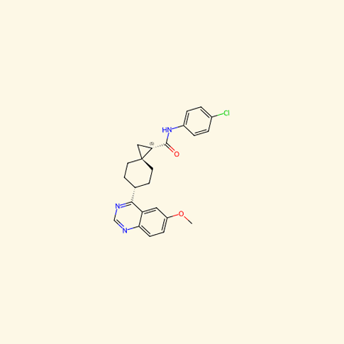 COc1ccc2ncnc([C@H]3CC[C@@]4(CC3)C[C@@H]4C(=O)Nc3ccc(Cl)cc3)c2c1